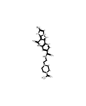 CC(=O)N1CCN(CCNC(=O)c2cnc3c(c2)[nH]c(=O)c2c3nn3cc(Br)sc23)CC1